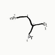 CC[CH]CC(CC)C(C)C